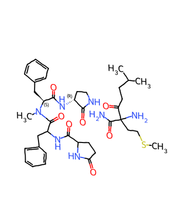 CN(C(=O)C(Cc1ccccc1)NC(=O)C1CCC(=O)N1)[C@@H](Cc1ccccc1)C(=O)N[C@@H]1CCNC1=O.CSCCC(N)(C(N)=O)C(=O)CCC(C)C